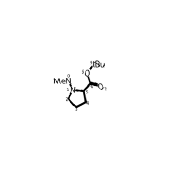 CNN1CCCC1C(=O)OC(C)(C)C